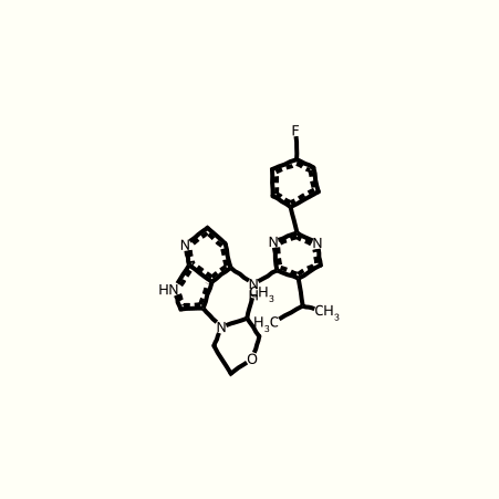 CC(C)c1cnc(-c2ccc(F)cc2)nc1Nc1ccnc2[nH]cc(N3CCOCC3C)c12